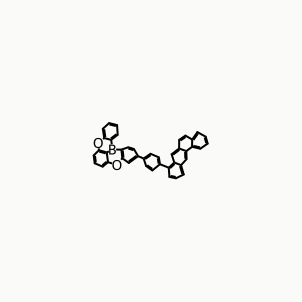 c1ccc2c(c1)Oc1cccc3c1B2c1ccc(-c2ccc(-c4cccc5cc6c(ccc7ccccc76)cc45)cc2)cc1O3